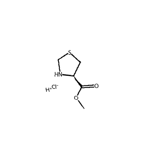 COC(=O)[C@@H]1CSCN1.[Cl-].[H+]